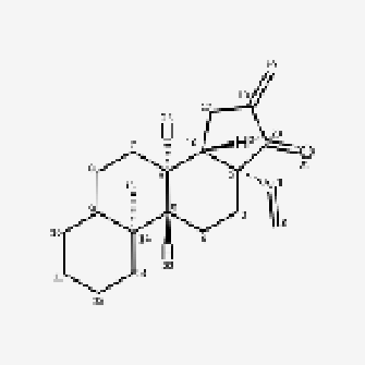 C=C[C@]12CC[C@H]3[C@@H](CCC4CCCC[C@@]43C)[C@@H]1CC(=C)C2=O